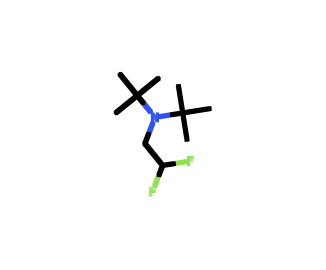 CC(C)(C)N(CC(F)F)C(C)(C)C